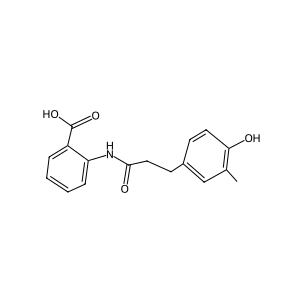 Cc1cc(CCC(=O)Nc2ccccc2C(=O)O)ccc1O